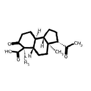 CC(=O)[C@H]1CC[C@H]2[C@@H]3CCC(=O)[C@](C)(C(=O)O)[C@H]3CC[C@]12C